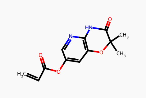 C=CC(=O)Oc1cnc2c(c1)OC(C)(C)C(=O)N2